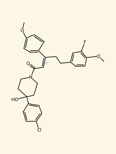 COc1ccc(/C(=C\C(=O)N2CCC(O)(c3ccc(Cl)cc3)CC2)CCc2ccc(OC)c(F)c2)cc1